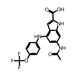 CC(=O)Nc1cc(Nc2ccc(OC(F)(F)F)cc2)c2cc(C(=O)O)[nH]c2c1